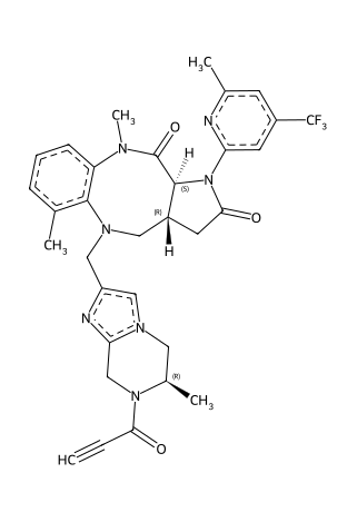 C#CC(=O)N1Cc2nc(CN3C[C@H]4CC(=O)N(c5cc(C(F)(F)F)cc(C)n5)[C@@H]4C(=O)N(C)c4cccc(C)c43)cn2C[C@H]1C